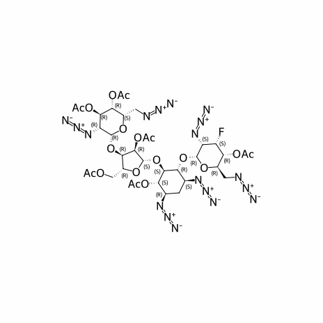 CC(=O)OC[C@H]1O[C@@H](O[C@@H]2[C@@H](OC(C)=O)[C@H](N=[N+]=[N-])C[C@H](N=[N+]=[N-])[C@H]2O[C@H]2O[C@H](CN=[N+]=[N-])[C@@H](OC(C)=O)[C@@H](F)[C@H]2N=[N+]=[N-])[C@H](OC(C)=O)[C@@H]1O[C@H]1O[C@@H](CN=[N+]=[N-])[C@@H](OC(C)=O)[C@H](OC(C)=O)[C@H]1N=[N+]=[N-]